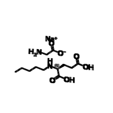 CCCCCN[C@@H](CCC(=O)O)C(=O)O.NCC(=O)[O-].[Na+]